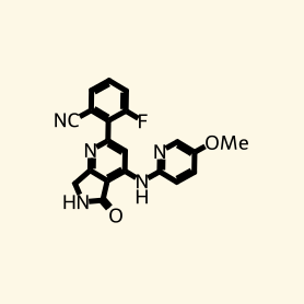 COc1ccc(Nc2cc(-c3c(F)cccc3C#N)nc3c2C(=O)NC3)nc1